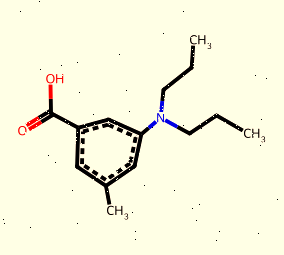 CCCN(CCC)c1cc(C)cc(C(=O)O)c1